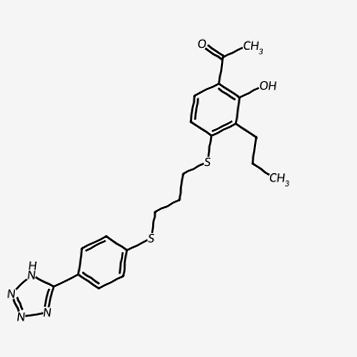 CCCc1c(SCCCSc2ccc(-c3nnn[nH]3)cc2)ccc(C(C)=O)c1O